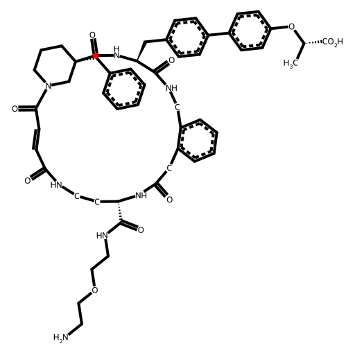 C[C@H](Oc1ccc(-c2ccc(C[C@@H]3NC(=O)[C@]4(Cc5ccccc5)CCCN(C4)C(=O)/C=C/C(=O)NCC[C@@H](C(=O)NCCOCCN)NC(=O)Cc4ccccc4CNC3=O)cc2)cc1)C(=O)O